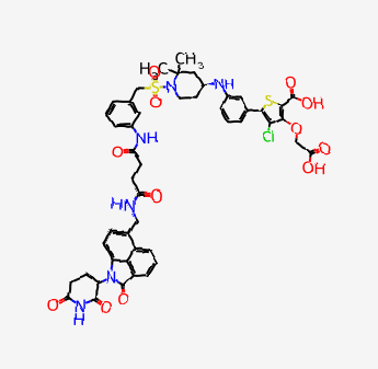 CC1(C)C[C@@H](Nc2cccc(-c3sc(C(=O)O)c(OCC(=O)O)c3Cl)c2)CCN1S(=O)(=O)Cc1cccc(NC(=O)CCC(=O)NCc2ccc3c4c(cccc24)C(=O)N3C2CCC(=O)NC2=O)c1